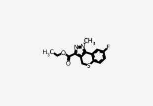 CCOC(=O)c1nn(C)c2c1CSc1ccc(F)cc1-2